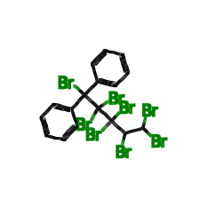 BrC(Br)C(Br)C(Br)(Br)C(Br)(Br)C(Br)(c1ccccc1)c1ccccc1